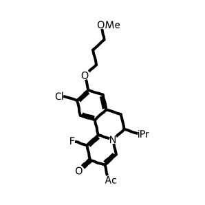 COCCCOc1cc2c(cc1Cl)-c1c(F)c(=O)c(C(C)=O)cn1C(C(C)C)C2